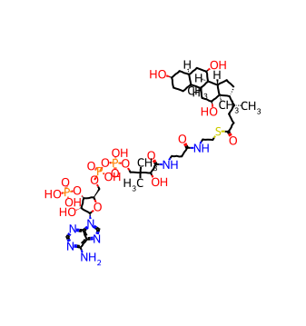 C[C@H](CCC(=O)SCCNC(=O)CCNC(=O)C(O)C(C)(C)COP(=O)(O)OP(=O)(O)OC[C@H]1O[C@@H](n2cnc3c(N)ncnc32)[C@H](O)[C@@H]1OP(=O)(O)O)[C@H]1CC[C@H]2[C@@H]3[C@H](O)C[C@@H]4C[C@H](O)CC[C@]4(C)[C@H]3C[C@H](O)[C@]12C